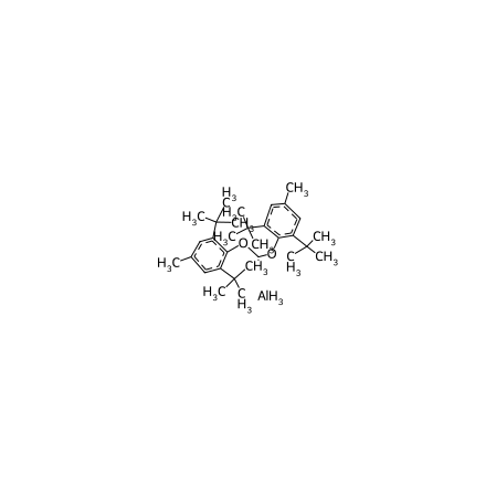 Cc1cc(C(C)(C)C)c(O[CH]Oc2c(C(C)(C)C)cc(C)cc2C(C)(C)C)c(C(C)(C)C)c1.[AlH3]